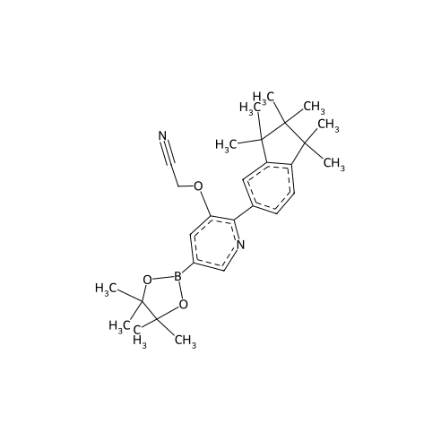 CC1(C)OB(c2cnc(-c3ccc4c(c3)C(C)(C)C(C)(C)C4(C)C)c(OCC#N)c2)OC1(C)C